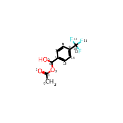 CC(=O)OC(O)c1ccc(C(F)(F)F)cc1